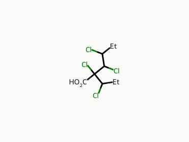 CCC(Cl)C(Cl)C(Cl)(C(=O)O)C(Cl)CC